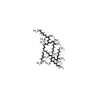 C=C(CCCN(CCCCCNC)CCCC(=C)CC(CCC(=C)C(C)CCCCCC)CC(C)CCCCCC)CC(CCC(=C)C(C)CCCCCC)CCC(=C)C(C)CCCCCC